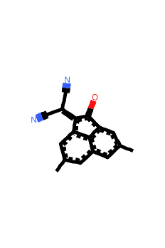 Cc1cc2cc(C)cc3c(=C(C#N)C#N)c(=O)c(c1)c23